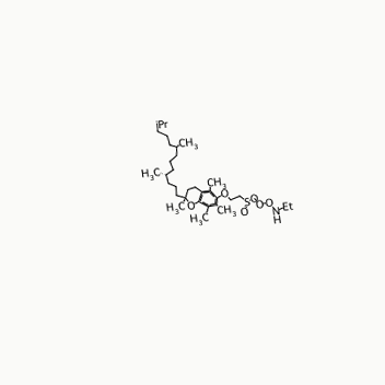 CCNOOOS(=O)CCOc1c(C)c(C)c2c(c1C)CC[C@@](C)(CCC[C@H](C)CCC[C@H](C)CCCC(C)C)O2